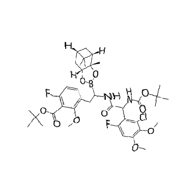 COc1cc(F)c(C(NC(=O)OC(C)(C)C)C(=O)NC(Cc2ccc(F)c(C(=O)OC(C)(C)C)c2OC)B2O[C@@H]3C[C@@H]4C[C@@H](C4(C)C)[C@]3(C)O2)c(Cl)c1OC